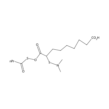 CCCC(=O)SOC(=O)C(CCCCCCC(=O)O)SN(C)C